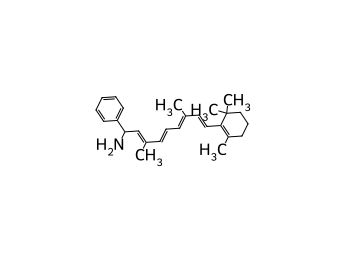 CC(C=CC1=C(C)CCCC1(C)C)=CC=CC(C)=CC(N)c1ccccc1